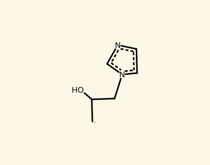 [CH2]C(O)Cn1ccnc1